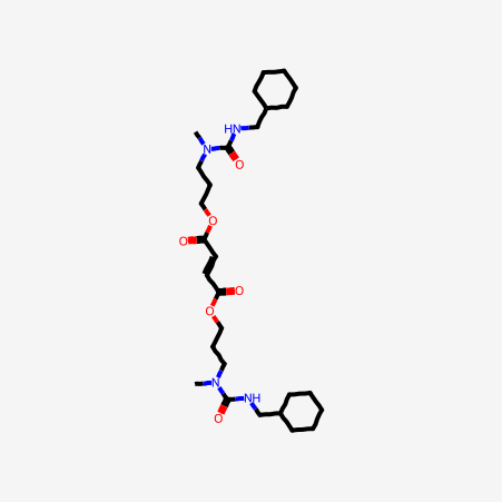 CN(CCCOC(=O)/C=C/C(=O)OCCCN(C)C(=O)NCC1CCCCC1)C(=O)NCC1CCCCC1